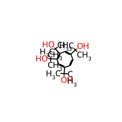 CC(C)(O)C1=C(C(C)(C)O)/C=C(C(C)(C)O)\C=C/C(C(C)(C)O)=C\1